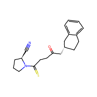 N#C[C@@H]1CCCN1C(=S)CCC(=O)C[C@H]1CCc2ccccc2C1